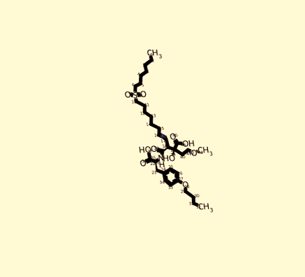 CCCCCCCS(=O)(=O)CCCCCC/C=C/[C@H](C(=O)N[C@@H](Cc1ccc(OCCCC)cc1)C(=O)O)[C@@](O)(CCOC)C(=O)O